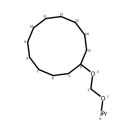 CC(C)OCOC1CCCCCCCCCCC1